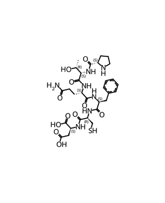 C[C@@H](O)[C@H](NC(=O)[C@@H]1CCCN1)C(=O)N[C@@H](CCC(N)=O)C(=O)N[C@@H](Cc1ccccc1)C(=O)N[C@@H](CS)C(=O)N[C@@H](CC(=O)O)C(=O)O